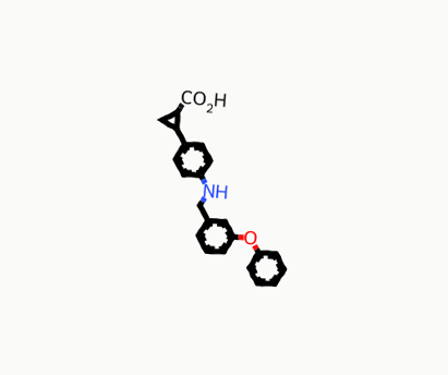 O=C(O)C1CC1c1ccc(NCc2cccc(Oc3ccccc3)c2)cc1